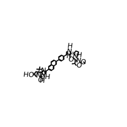 COC(=O)N[C@H](C(=O)N1CCC[C@H]1c1nc(-c2ccc(-c3ccc4cc(-c5c[nH]c([C@@]6(C(C)(C)C)C[C@H](O)CN6C(=O)O)n5)ccc4c3)cc2)c[nH]1)C(C)C